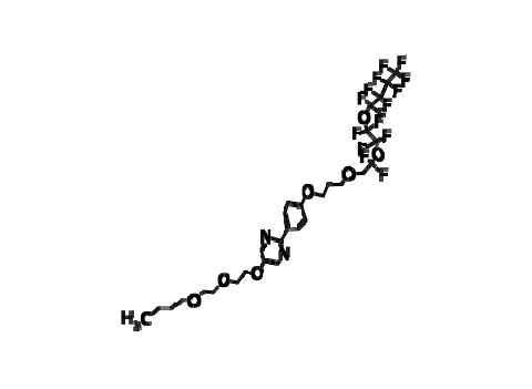 CCCCOCCOCCOc1cnc(-c2ccc(OCCCOCC(F)(F)OC(F)(F)C(F)(F)OC(F)(F)C(F)(F)C(F)(F)C(F)(F)F)cc2)nc1